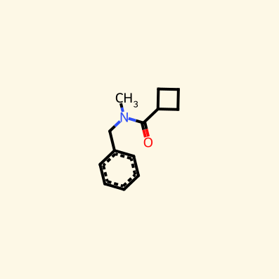 CN(Cc1ccccc1)C(=O)C1CCC1